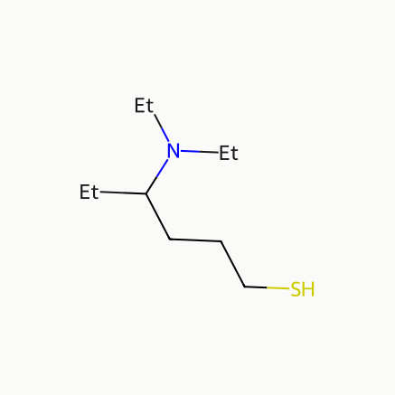 CCC(CCCS)N(CC)CC